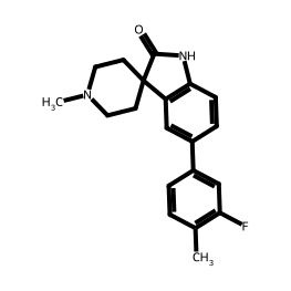 Cc1ccc(-c2ccc3c(c2)C2(CCN(C)CC2)C(=O)N3)cc1F